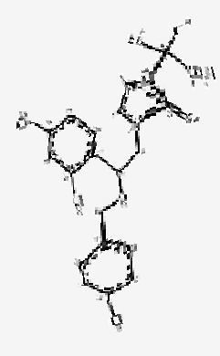 CCC(F)(C(=O)O)n1ccn(CC(OCc2ccc(Cl)cc2)c2ccc(Cl)cc2Cl)c1=S